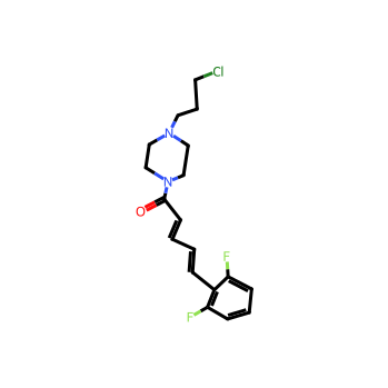 O=C(C=CC=Cc1c(F)cccc1F)N1CCN(CCCCl)CC1